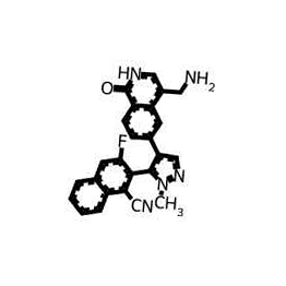 Cn1ncc(-c2ccc3c(=O)[nH]cc(CN)c3c2)c1-c1c(F)cc2ccccc2c1C#N